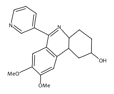 COc1cc2c(cc1OC)C1CC(O)CCC1N=C2c1cccnc1